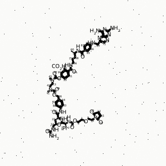 CC(C)[C@H](NC(=O)OCCOCCN1C(=O)C=CC1=O)C(=O)N[C@@H](CCCNC(N)=O)C(=O)Nc1ccc(COC(=O)N(C)CCN(C)C(=O)Oc2ccc(C(=O)NCCC[C@@H](C)NC(=O)c3ccc(NCc4cnc5nc(N)nc(N)c5n4)cc3)c(C(=O)O)c2)cc1